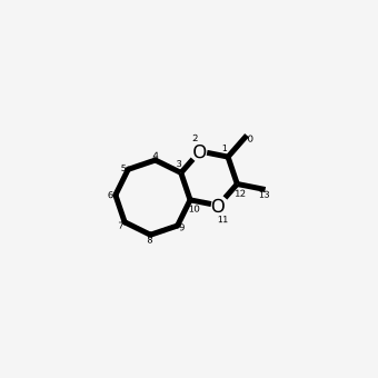 CC1OC2CCCCCCC2OC1C